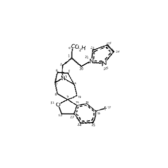 O=C(O)C(CN1C2CCC1CC1(C2)OCc2ccc(F)cc21)Cn1cccn1